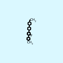 C=CC1CCC(C2CCC(c3ccc(-c4ccc(C)cc4)c(F)c3)CC2)CC1